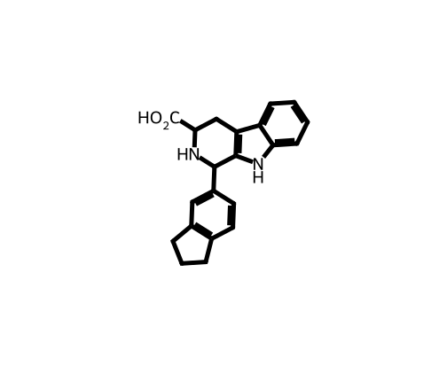 O=C(O)C1Cc2c([nH]c3ccccc23)C(c2ccc3c(c2)CCC3)N1